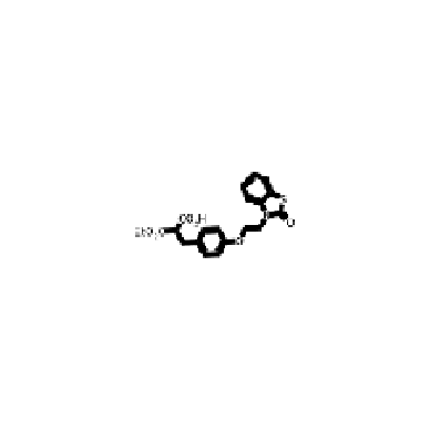 CCOC(=O)C(Cc1ccc(OCCn2c(=O)sc3ccccc32)cc1)C(=O)O